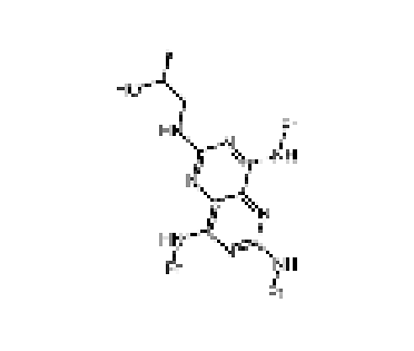 CCNc1nc(NCC)c2nc(NC[C@H](C)O)nc(NCC)c2n1